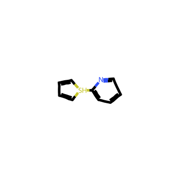 C1=C[SH](c2ccccn2)C=C1